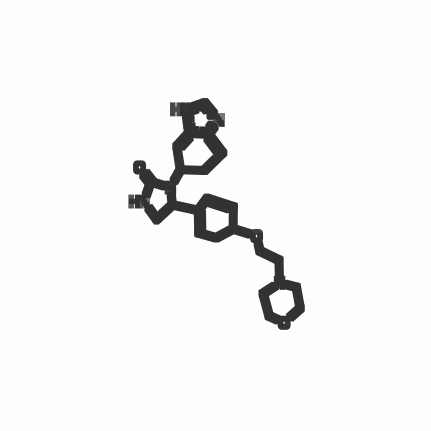 O=C1NCC(C2=CCC(OCCN3CCOCC3)C=C2)N1C1C=c2[nH]cnc2=CC1